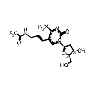 Nc1nc(=O)n([C@H]2C[C@H](O)[C@@H](CO)O2)cc1C=CCNC(=O)C(F)(F)F